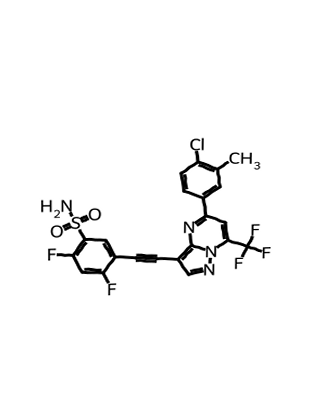 Cc1cc(-c2cc(C(F)(F)F)n3ncc(C#Cc4cc(S(N)(=O)=O)c(F)cc4F)c3n2)ccc1Cl